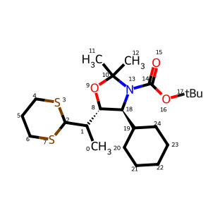 CC(C1SCCCS1)[C@@H]1OC(C)(C)N(C(=O)OC(C)(C)C)[C@H]1C1CCCCC1